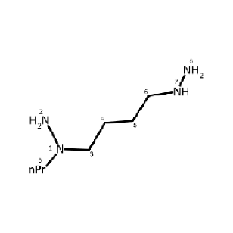 CCCN(N)CCCCNN